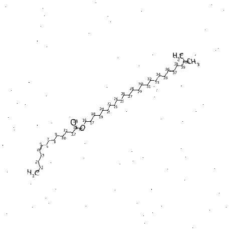 CCCC/C=C\CCCCCCCC(=O)OCCCCCCCCCCCCCCCCCCCCCCCCC(C)C